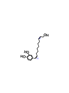 OC/C=C\CCCCCC/C=C\c1ccc(O)c(O)c1